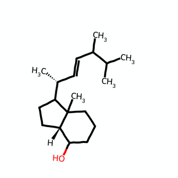 CC(C)C(C)/C=C/[C@@H](C)C1CC[C@H]2C(O)CCCC12C